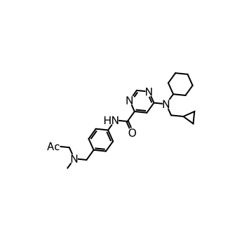 CC(=O)CN(C)Cc1ccc(NC(=O)c2cc(N(CC3CC3)C3CCCCC3)ncn2)cc1